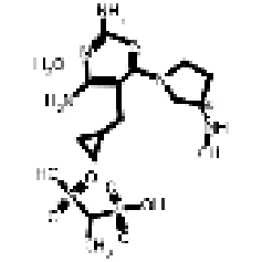 CC(S(=O)(=O)O)S(=O)(=O)O.CN[C@@H]1CCN(c2nc(N)nc(N)c2CC2CC2)C1.O